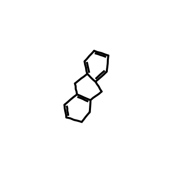 C1=CC2=C(CC1)Cc1ccccc1C2